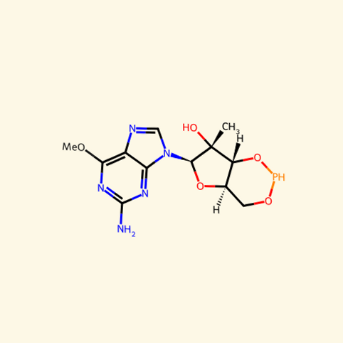 COc1nc(N)nc2c1ncn2[C@@H]1O[C@@H]2COPO[C@H]2[C@@]1(C)O